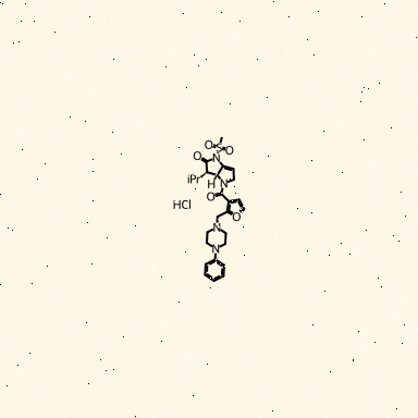 CC(C)[C@H]1C(=O)N(S(C)(=O)=O)C2=CCN(C(=O)c3ccoc3CN3CCN(c4ccccc4)CC3)[C@@H]21.Cl